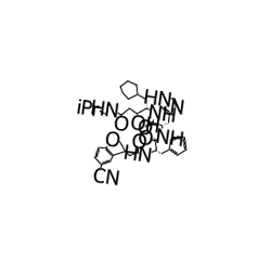 CC(C)CNC(=O)C[C@H](O)[C@H](CC1CCCCC1)NC(=O)[C@H](Cc1c[nH]cn1)NC(=O)[C@H](Cc1ccccc1)NC(=O)CC1COc2ccc(C#N)cc21